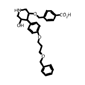 O=C(O)c1ccc(COC2CNCC(O)C2c2ccc(OCCCOCc3ccccc3)cc2)cc1